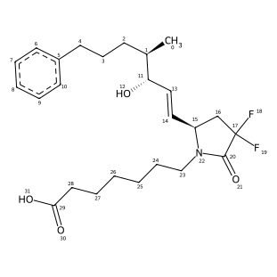 C[C@H](CCCc1ccccc1)[C@@H](O)C=C[C@H]1CC(F)(F)C(=O)N1CCCCCCC(=O)O